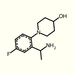 CC(N)c1cc(F)ccc1N1CCC(O)CC1